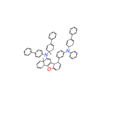 CC12C=CC=CC1C1=C(C=C2N(c2ccc(-c3ccccc3)cc2)C2(C)C=CC(c3ccccc3)=CC2)C2C(=CC=CC2c2cccc(N(c3ccccc3)C3C=CC(c4ccccc4)=CC3)c2)O1